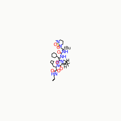 C=CCNC(=O)C(=O)C(CC1CCC1)NC(=O)[C@@H]1[C@@H]2[C@H](CN1C(=O)[C@@H](NC(=O)N[C@H](CN1CCCN(C)S1(=O)=O)C(C)(C)C)C1CCCCC1)C2(C)C